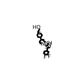 OCCN1CCC(c2ccnc(Nc3ncc(-c4ccc(F)c(F)c4)s3)c2)CC1